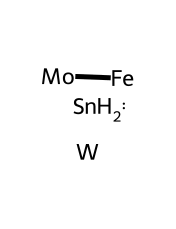 [Fe][Mo].[SnH2].[W]